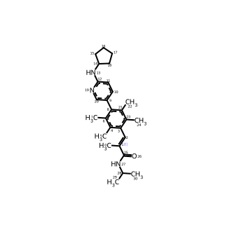 C/C(=C\c1c(C)c(C)c(-c2ccc(NC3CCCC3)nc2)c(C)c1C)C(=O)NC(C)C